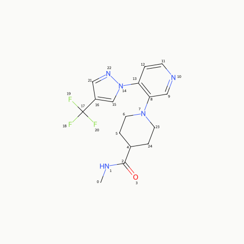 CNC(=O)C1CCN(c2cnccc2-n2cc(C(F)(F)F)cn2)CC1